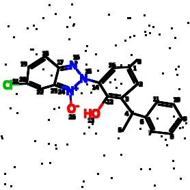 Cc1cc(C(C)c2ccccc2)c(O)c(-n2nc3ccc(Cl)cc3[n+]2[O-])c1